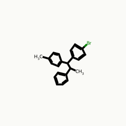 Cc1ccc(C(c2ccc(Br)cc2)C(C)c2ccccc2)cc1